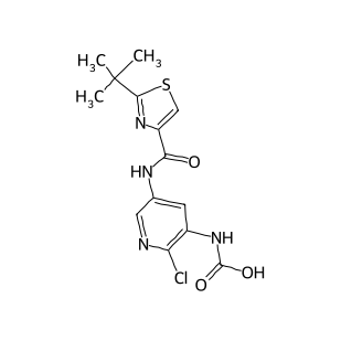 CC(C)(C)c1nc(C(=O)Nc2cnc(Cl)c(NC(=O)O)c2)cs1